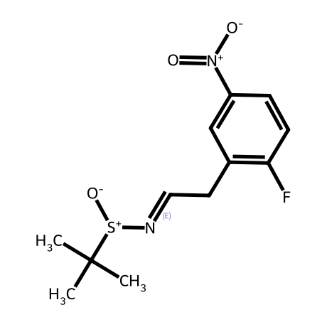 CC(C)(C)[S+]([O-])/N=C/Cc1cc([N+](=O)[O-])ccc1F